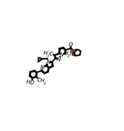 Cc1c(O)cccc1-c1ccc2cc(-c3nn4cc(C(=O)N5CC6CCC5[C@@H]6N)ccc4c3C)n(CC3CC3)c2n1